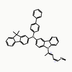 C=N/C=C\C=C(/C)n1c2ccccc2c2cc(N(c3ccc(-c4ccccc4)cc3)c3ccc4c(c3)C(C)(C)c3ccccc3-4)ccc21